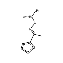 CC(=NO[SiH](C(C)C)C(C)C)c1cccs1